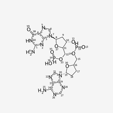 Nc1nc2c(ncn2[C@H]2C[C@H](O[PH](=O)OCC3CC[C@H](n4cnc5c(N)ncnc54)O3)C(CO[PH](=O)O)O2)c(=O)[nH]1